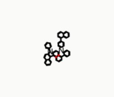 c1ccc(-c2ccccc2N(c2ccc(-c3cccc4ccccc34)cc2)c2ccc3c4c5ccccc5ccc4n(-c4ccccc4)c3c2)cc1